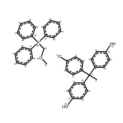 CC(c1ccc([O-])cc1)(c1ccc(O)cc1)c1ccc(O)cc1.COC[P+](c1ccccc1)(c1ccccc1)c1ccccc1